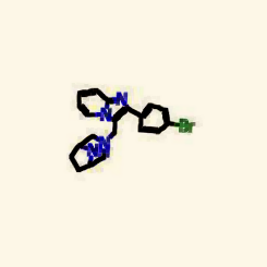 Brc1ccc(-c2nc3ccccn3c2CN2CC3CCC(C2)N3)cc1